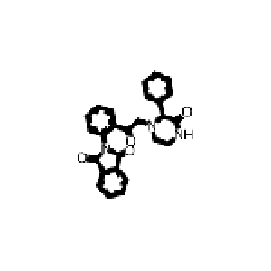 O=C(CN1CCNC(=O)C1c1ccccc1)c1ccccc1N1C(=O)c2ccccc2C1=O